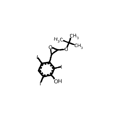 CC(C)(C)OC1OC1c1c(I)cc(I)c(O)c1I